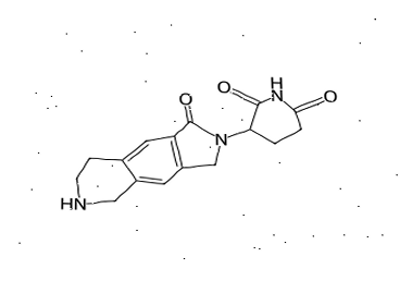 O=C1CCC(N2Cc3cc4c(cc3C2=O)CCNC4)C(=O)N1